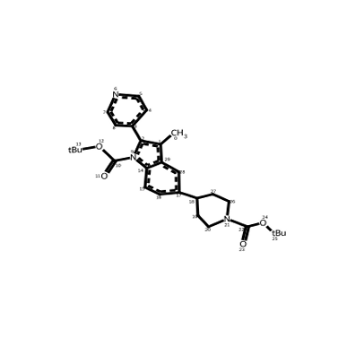 Cc1c(-c2ccncc2)n(C(=O)OC(C)(C)C)c2ccc(C3CCN(C(=O)OC(C)(C)C)CC3)cc12